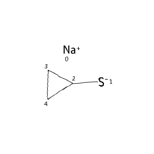 [Na+].[S-]C1CC1